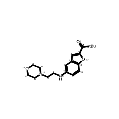 CC(C)(C)C(=O)c1cc2cc(NCCN3CCOCC3)ccc2o1